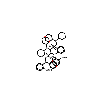 COc1ccccc1P(C[Si](C)(C)C(C(P(C1CCCCC1)C1CCCCC1)C(C)(C)CP(C1CCCCC1)C1CCCCC1)P(c1ccccc1OC)c1ccccc1OC)c1ccccc1OC